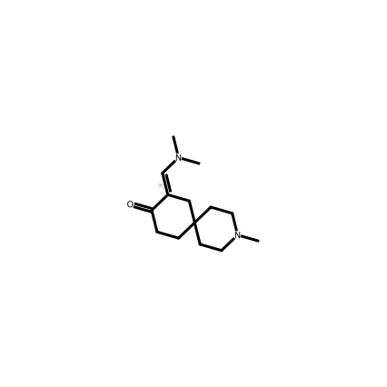 CN(C)/C=C1\CC2(CCC1=O)CCN(C)CC2